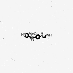 COc1cc(N/C=C\C=N)ccc1-c1nnc(C2=CCNCC2)s1